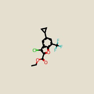 CCOC(=O)c1oc2c(C(F)(F)F)cc(C3CC3)cc2c1Cl